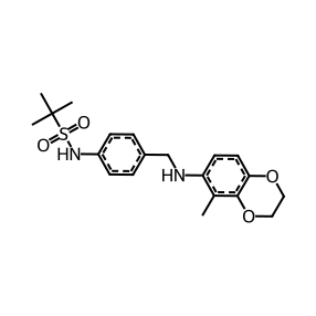 Cc1c(NCc2ccc(NS(=O)(=O)C(C)(C)C)cc2)ccc2c1OCCO2